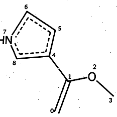 C=C(OC)c1cc[nH]c1